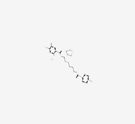 COc1cc(N)c(Cl)cc1C(=O)NC(CCCCCNC(=O)c1ccc(Cl)cc1)[C@@H]1CCNC1